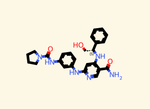 NC(=O)c1cnc(Nc2cccc(NC(=O)N3CCCC3)c2)cc1N[C@H](CO)c1ccccc1